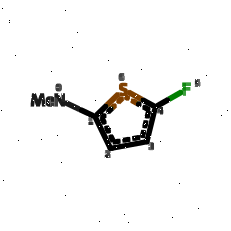 CNc1ccc(F)s1